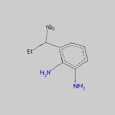 CCCCC(CC)c1cccc(N)c1N